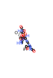 CC(C)Oc1ccccc1[C@@H]1CN(c2cc3c(cn2)COCC3)CCN1C1CC2(CCN(c3ccc(C(=O)NS(=O)(=O)c4cc5c(c([N+](=O)[O-])c4)N[C@H](C4CCOCC4)CO5)c(N4c5cc6cc[nH]c6nc5O[C@H]5COCC[C@@H]54)c3)CC2)C1